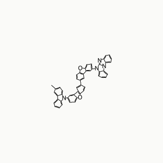 Cc1ccc2c(c1)c1ccccc1n2-c1ccc2oc3ccc(-c4ccc5oc6ccc(-n7c8ccccc8n8c9ccccc9nc78)cc6c5c4)cc3c2c1